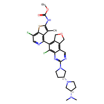 CN(C)[C@H]1CCN([C@@H]2CCN(c3ncc4c5c(c(-c6ncc(F)c7sc(NC(=O)OC(C)(C)C)c(C#N)c67)c(F)c4n3)COC5)C2)C1